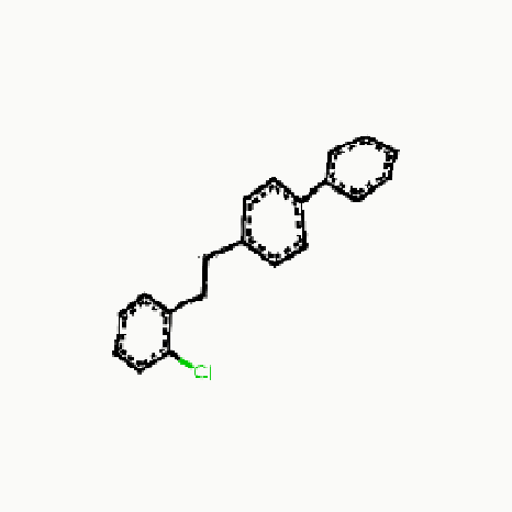 Clc1ccccc1C[CH]c1ccc(-c2ccccc2)cc1